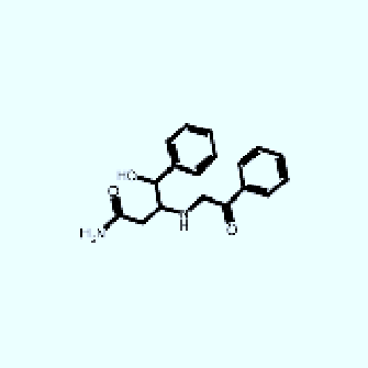 NC(=O)CC(NCC(=O)c1ccccc1)C(O)c1ccccc1